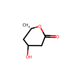 C.O=C1CC(O)CCO1